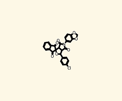 O=C1C2C(c3ccc(Cl)cc3)OC3(C(=O)c4ccccc4C3=O)C2C(=O)N1c1ccc2c(c1)OCO2